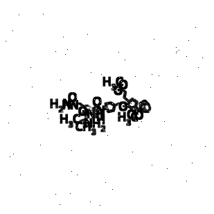 COC(=O)/C=C/c1ccc(/C(OC)=C2/C3CC4CC(C3)C2C4)c(Cl)c1OCc1ccc(NC(=O)[C@@H](CCCNC(N)=O)NC(=O)[C@@H](N)C(C)C)cc1